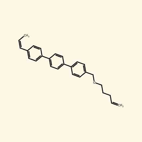 C=CCCCOCc1ccc(-c2ccc(-c3ccc(/C=C\C)cc3)cc2)cc1